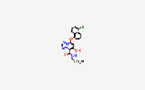 O=C(O)CNC(=O)c1c(O)cc(Oc2cccc3c(Cl)cccc23)n2ncnc12